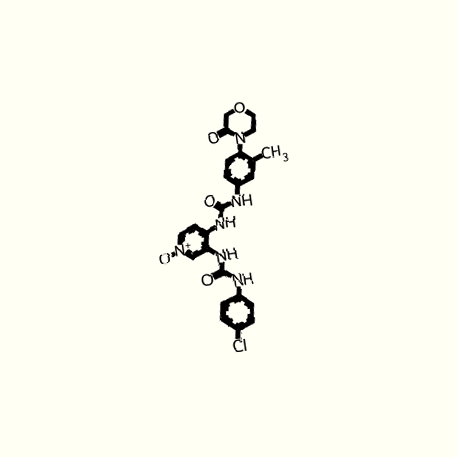 Cc1cc(NC(=O)Nc2cc[n+]([O-])cc2NC(=O)Nc2ccc(Cl)cc2)ccc1N1CCOCC1=O